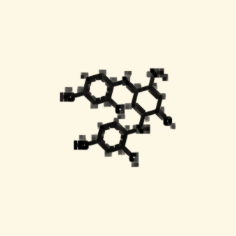 NC1=CC(=O)C(Nc2ccc(O)cc2Cl)=C/C1=N\c1ccc(O)cc1Cl